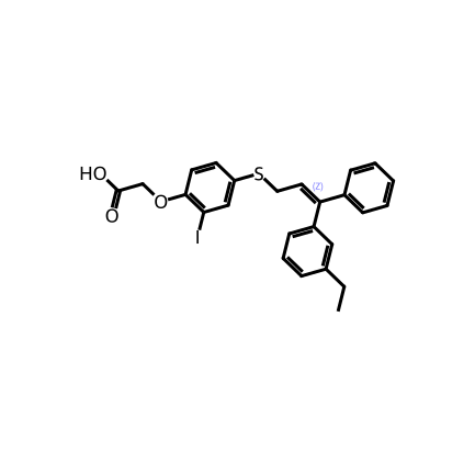 CCc1cccc(/C(=C\CSc2ccc(OCC(=O)O)c(I)c2)c2ccccc2)c1